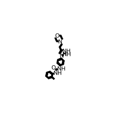 Cc1ccccc1NC(=O)Nc1ccc(N2C=C(CCN3CCOCC3)NN2)cc1